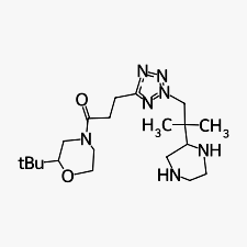 CC(C)(C)C1CN(C(=O)CCc2nnn(CC(C)(C)C3CNCCN3)n2)CCO1